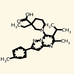 CCC1(C(=O)O)CCCN(c2c(C(C)C)c(C)nc3cc(-c4ccc(C)cc4)nn23)C1